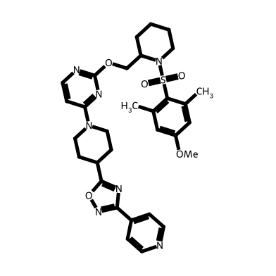 COc1cc(C)c(S(=O)(=O)N2CCCCC2COc2nccc(N3CCC(c4nc(-c5ccncc5)no4)CC3)n2)c(C)c1